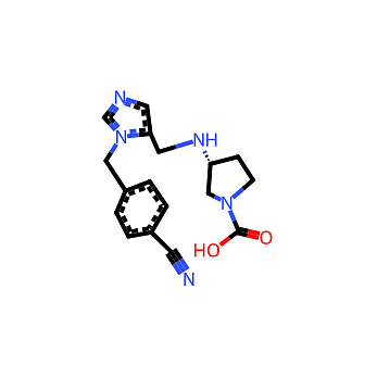 N#Cc1ccc(Cn2cncc2CN[C@@H]2CCN(C(=O)O)C2)cc1